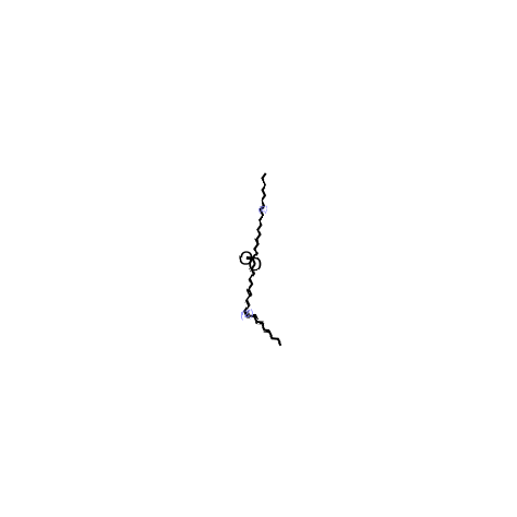 CCCCCC/C=C/CCCCCCCCCC(=O)OCCCCCCCC/C=C\CCCCCCCC